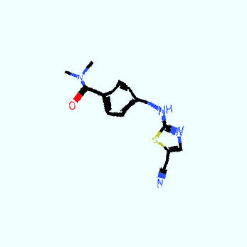 CN(C)C(=O)c1ccc(Nc2ncc(C#N)s2)cc1